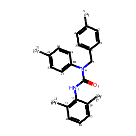 CC(C)c1ccc(CN(C(=O)Nc2c(C(C)C)cccc2C(C)C)c2ccc(C(C)C)cc2)cc1